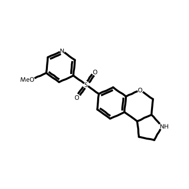 COc1cncc(S(=O)(=O)c2ccc3c(c2)OCC2NCCC32)c1